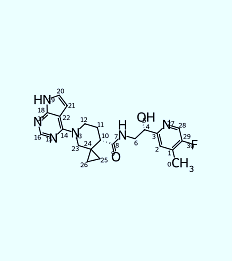 Cc1cc([C@@H](O)CNC(=O)[C@H]2CCN(c3ncnc4[nH]ccc34)CC23CC3)ncc1F